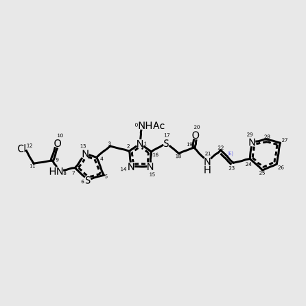 CC(=O)Nn1c(Cc2csc(NC(=O)CCl)n2)nnc1SCC(=O)N/C=C/c1ccccn1